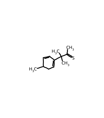 CC(=S)C(C)(C)C1=CCC(C)C=C1